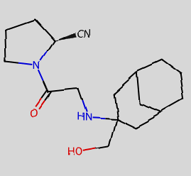 N#C[C@@H]1CCCN1C(=O)CNC1(CO)CC2CCCC(C2)C1